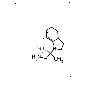 CC(C)(CN)N1CCC2=CCCC=C21